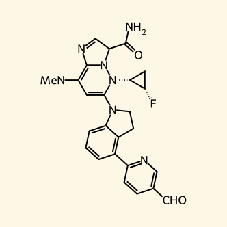 CNC1=C2N=CC(C(N)=O)N2N([C@@H]2C[C@@H]2F)C(N2CCc3c(-c4ccc(C=O)cn4)cccc32)=C1